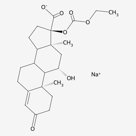 CCOC(=O)O[C@]1(C(=O)[O-])CCC2C3CCC4=CC(=O)CC[C@]4(C)C3[C@@H](O)C[C@@]21C.[Na+]